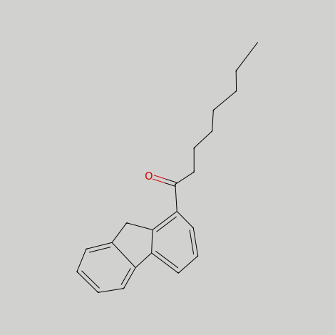 CCCCCCCC(=O)c1cccc2c1Cc1ccccc1-2